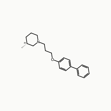 C[C@@H]1CCCN(CCCOc2ccc(-c3ccccc3)cc2)C1